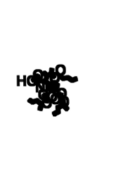 CCCCC(=O)OC(C)C(C)C(c1ccc(OC(=O)OC(C)CCC)c(OC(=O)OC(C)CCC)c1)[C@H](N)C(=O)O